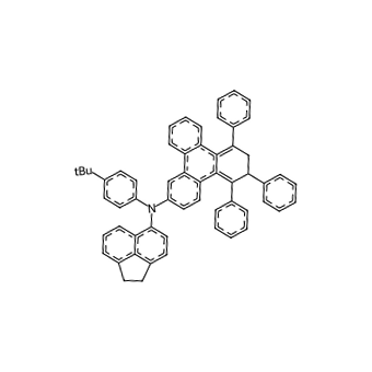 CC(C)(C)c1ccc(N(c2ccc3c4c(c5ccccc5c3c2)=C(c2ccccc2)CC(c2ccccc2)C=4c2ccccc2)c2ccc3c4c(cccc24)CC3)cc1